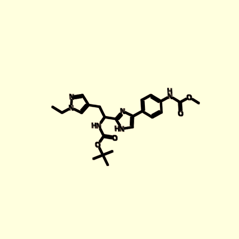 CCn1cc(CC(NC(=O)OC(C)(C)C)c2nc(-c3ccc(NC(=O)OC)cc3)c[nH]2)cn1